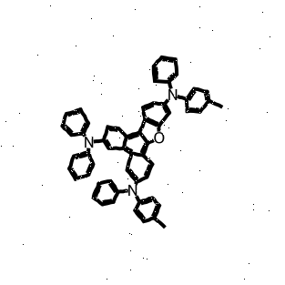 Cc1ccc(N(c2ccccc2)c2ccc3c(c2)oc2c4ccc(N(c5ccccc5)c5ccc(C)cc5)cc4c4cc(N(c5ccccc5)c5ccccc5)ccc4c32)cc1